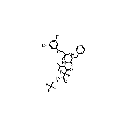 CC(C)[C@H](NC(=O)[C@H](Cc1ccccc1)NC(=O)COc1cc(Cl)cc(Cl)c1)C(=O)C(F)(F)C(=O)NCCC(F)(F)F